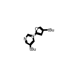 CC(C)(C)c1coc(-[n+]2cncc(C(C)(C)C)c2)c1